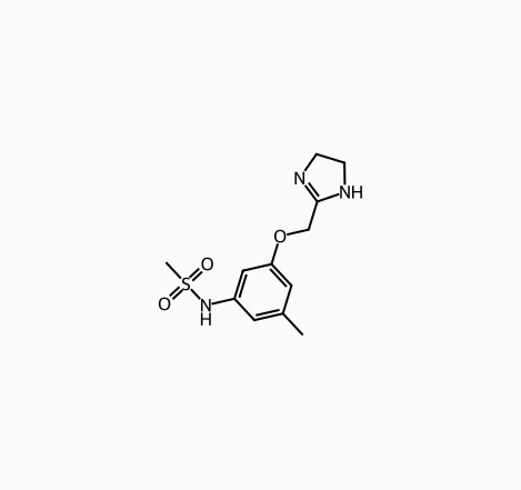 Cc1cc(NS(C)(=O)=O)cc(OCC2=NCCN2)c1